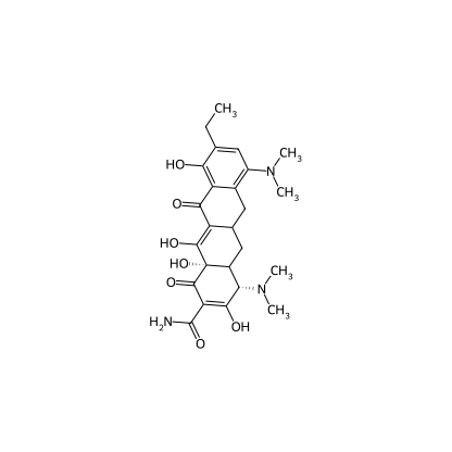 CCc1cc(N(C)C)c2c(c1O)C(=O)C1=C(O)[C@]3(O)C(=O)C(C(N)=O)=C(O)[C@@H](N(C)C)C3CC1C2